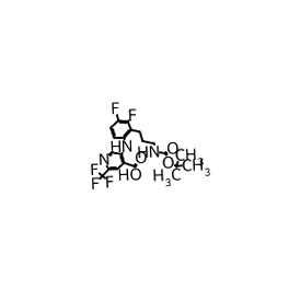 CC(C)(C)OC(=O)NCCCc1c(Nc2cnc(C(F)(F)F)cc2C(=O)O)ccc(F)c1F